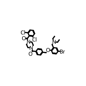 CCN(CC)Cc1cc(Br)ccc1OCc1ccc(C(=O)N2CCN(C(=O)c3c(Cl)cccc3Cl)CC2)cc1